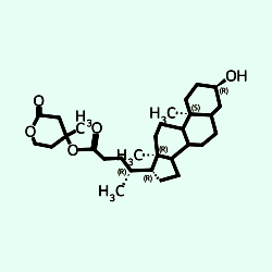 C[C@H](CCC(=O)OC1(C)CCOC(=O)C1)[C@H]1CCC2C3CCC4C[C@H](O)CC[C@]4(C)C3CC[C@@]21C